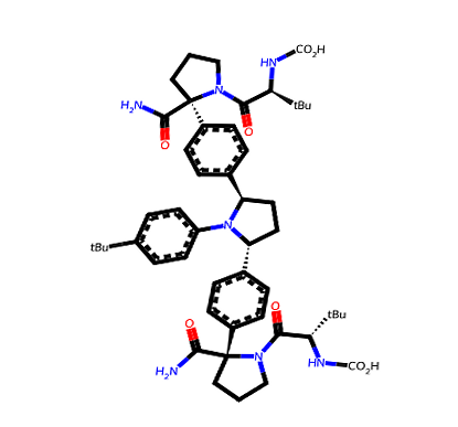 CC(C)(C)c1ccc(N2[C@@H](c3ccc([C@]4(C(N)=O)CCCN4C(=O)[C@@H](NC(=O)O)C(C)(C)C)cc3)CC[C@@H]2c2ccc([C@]3(C(N)=O)CCCN3C(=O)[C@@H](NC(=O)O)C(C)(C)C)cc2)cc1